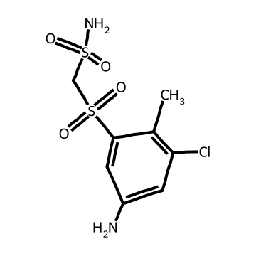 Cc1c(Cl)cc(N)cc1S(=O)(=O)CS(N)(=O)=O